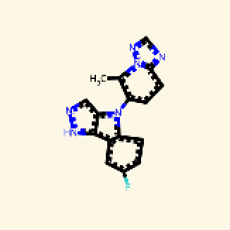 Cc1c(-n2c3ccc(F)cc3c3[nH]ncc32)ccc2ncnn12